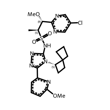 COc1cccc(-c2nnc(NS(=O)(=O)[C@@H](C)[C@H](OC)c3ncc(Cl)cn3)n2[C@H]2CCC23CCC3)n1